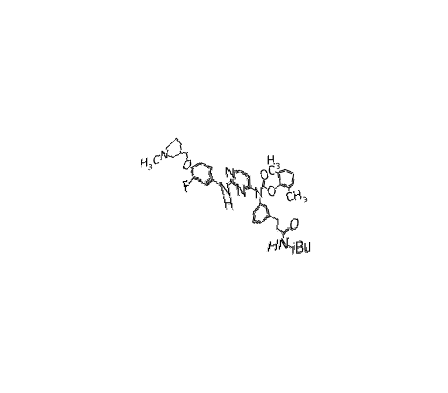 CCC(C)NC(=O)CCc1cccc(N(C(=O)Oc2c(C)cccc2C)c2ccnc(Nc3ccc(OCC4CCCN(C)C4)c(F)c3)n2)c1